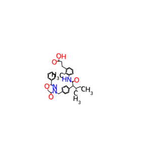 CCC(C)C(C(=O)Nc1cccc(CCC(=O)O)c1C)c1ccc(CN2N=C(c3ccccc3)OCC2=O)cc1